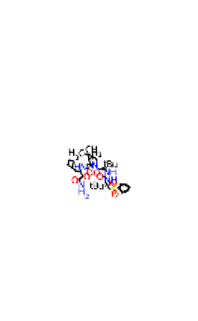 CC(C)(C)[C@H](NC(=O)N[C@H](CS(=O)(=O)c1ccccc1)C(C)(C)C)C(=O)N1C[C@H]2C([C@H]1C(=O)NC(CC1CCC1)C(=O)C(N)=O)C2(C)C